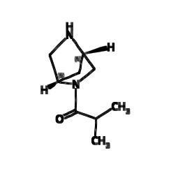 CC(C)C(=O)N1C[C@@H]2C[C@H]1CN2